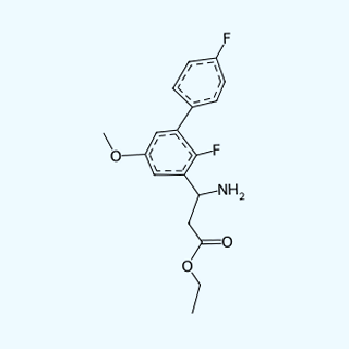 CCOC(=O)CC(N)c1cc(OC)cc(-c2ccc(F)cc2)c1F